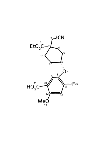 CCOC(=O)[C@]1(CC#N)CC[C@H](Oc2cc(C(=O)O)c(OC)cc2F)CC1